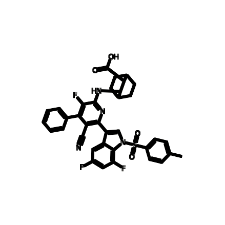 Cc1ccc(S(=O)(=O)n2cc(-c3nc(NC4C5CCC(CC5)C4C(=O)O)c(F)c(-c4ccccc4)c3C#N)c3cc(F)cc(F)c32)cc1